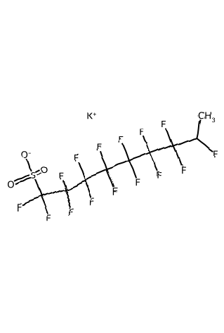 CC(F)C(F)(F)C(F)(F)C(F)(F)C(F)(F)C(F)(F)C(F)(F)C(F)(F)S(=O)(=O)[O-].[K+]